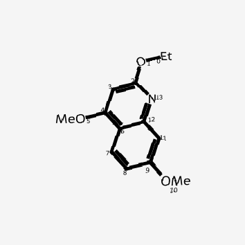 CCOc1cc(OC)c2ccc(OC)cc2n1